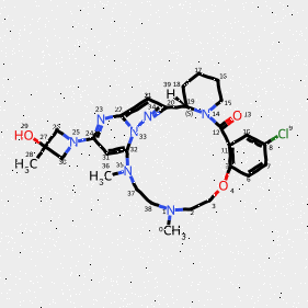 CN1CCOc2ccc(Cl)cc2C(=O)N2CCCC[C@H]2c2cc3nc(N4CC(C)(O)C4)cc(n3n2)N(C)CC1